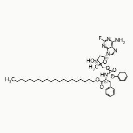 CCCCCCCCCCCCCCCCCCCCOC(=O)[C@H](Cc1ccccc1)NP(=O)(OC[C@@]1(C)O[C@@H](n2cnc3c(N)nc(F)nc32)C[C@@H]1O)Oc1ccccc1